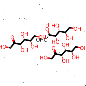 O=C(CO)[C@@H](O)[C@H](O)[C@H](O)CO.O=C(CO)[C@@H](O)[C@H](O)[C@H](O)CO.O=C[C@H](O)[C@@H](O)[C@H](O)[C@H](O)CO